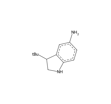 CC(C)(C)C1CNc2ccc(N)cc21